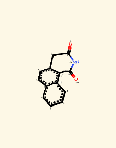 O=C1Cc2ccc3ccccc3c2C(=O)N1